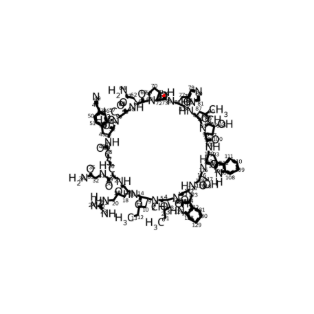 CCCC[C@H]1C(=O)N(C)[C@@H](CCCC)C(=O)N[C@@H](CCCNC(=N)N)C(=O)N[C@H](C(=O)NCC(N)=O)CSCC(=O)N[C@@H](Cc2ccc(C#N)cc2)C(=O)N(C)[C@@H](C)C(=O)N[C@@H](CC(N)=O)C(=O)N2CCC[C@H]2C(=O)N[C@@H](Cc2cnc[nH]2)C(=O)N[C@@H](CC(C)C)C(=O)N2C[C@H](O)CC2C(=O)N[C@@H](Cc2c[nH]c3ccccc23)C(=O)N[C@@H](CO)C(=O)N[C@@H](Cc2c[nH]c3ccccc23)C(=O)N1C